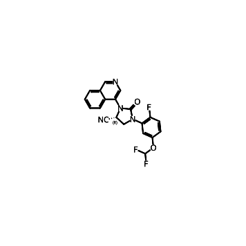 N#C[C@H]1CN(c2cc(OC(F)F)ccc2F)C(=O)N1c1cncc2ccccc12